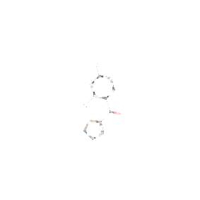 Nc1cc(Br)ccc1C(=O)c1cccs1